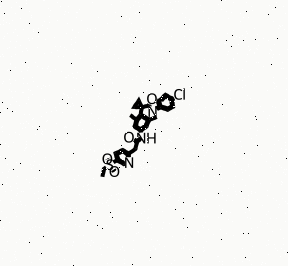 CCS(=O)(=O)c1ccc(CC(=O)Nc2cc(C)c(C3(c4nc5ccc(Cl)cc5o4)CC3)c(C)c2)nc1